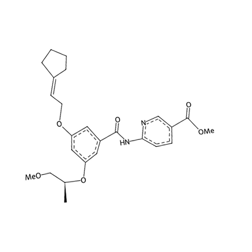 COC[C@H](C)Oc1cc(OCC=C2CCCC2)cc(C(=O)Nc2ccc(C(=O)OC)cn2)c1